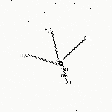 CCCCCCCCCCCCCCCCCCOc1cc(COC(=O)CCC(=O)OCCO)cc(OCCCCCCCCCCCCCCCCCC)c1OCCCCCCCCCCCCCCCCCC